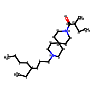 CCCCC(CC)CCCN1CCC2(CC1)CCN(C(=O)C(C)CC)CC2